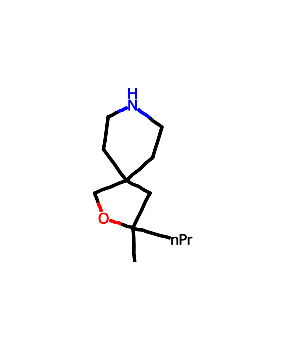 CCCC1(C)CC2(CCNCC2)CO1